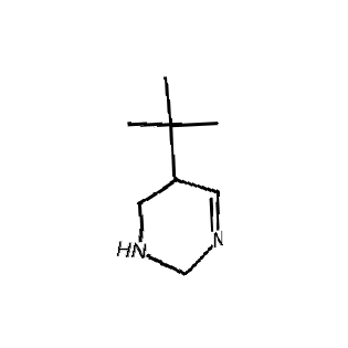 CC(C)(C)C1C=NCNC1